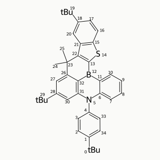 CC(C)(C)c1ccc(N2c3ccccc3B3c4sc5ccc(C(C)(C)C)cc5c4C(C)(C)c4cc(C(C)(C)C)cc2c43)cc1